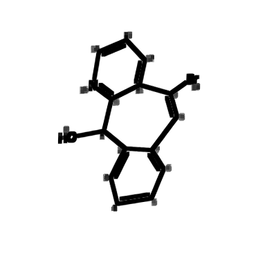 OC1c2ccccc2C=C(Br)c2cccnc21